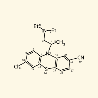 CCN(CC)CC(C)N1c2ccc(Cl)cc2Sc2ccc(C#N)cc21